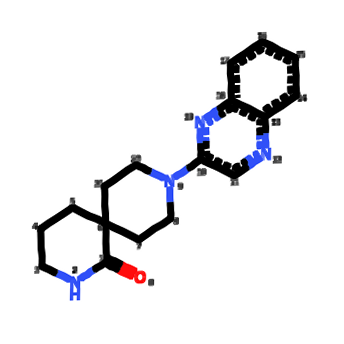 O=C1NCCCC12CCN(c1cnc3ccccc3n1)CC2